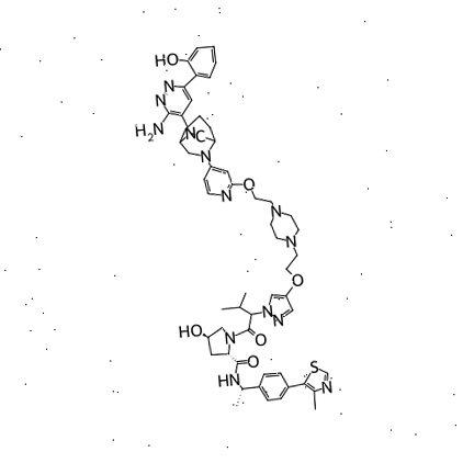 Cc1ncsc1-c1ccc([C@H](C)NC(=O)[C@@H]2C[C@@H](O)CN2C(=O)C(C(C)C)n2cc(OCCN3CCN(CCOc4cc(N5CC6CCCC5CN6c5cc(-c6ccccc6O)nnc5N)ccn4)CC3)cn2)cc1